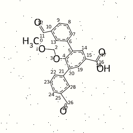 COCOc1c(-c2cccc(C=O)c2)cc(C(=O)O)cc1-c1cccc(C=O)c1